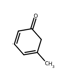 CC1=C[C]=CC(=O)C1